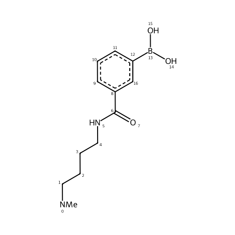 CNCCCCNC(=O)c1cccc(B(O)O)c1